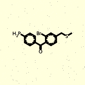 CSCc1ccc(C(=O)c2ccc(P)cc2)c(Br)c1